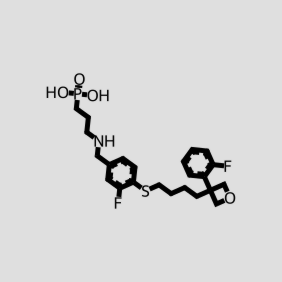 O=P(O)(O)CCCNCc1ccc(SCCCCC2(c3ccccc3F)COC2)c(F)c1